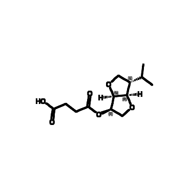 CC(C)[C@H]1CO[C@H]2[C@@H]1OC[C@H]2OC(=O)CCC(=O)O